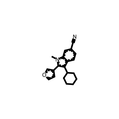 Cn1c(-c2ccoc2)c(C2CCCCC2)c2ccc(C#N)cc21